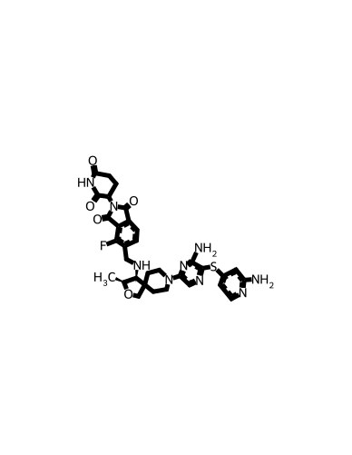 C[C@@H]1OCC2(CCN(c3cnc(Sc4ccnc(N)c4)c(N)n3)CC2)[C@@H]1NCc1ccc2c(c1F)C(=O)N(C1CCC(=O)NC1=O)C2=O